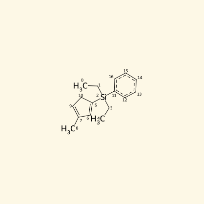 CC[Si](CC)(C1=CC(C)=CC1)c1ccccc1